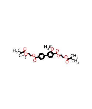 C=C(C)C(=O)OCCOC(=O)c1ccc(-c2ccc(C(=O)OCCOC(=O)C(=C)C)c(OC)c2)cc1